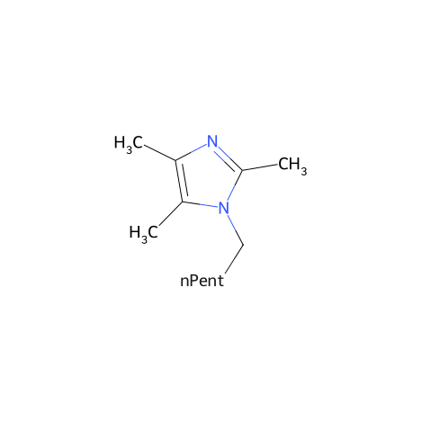 CCCCCCn1c(C)nc(C)c1C